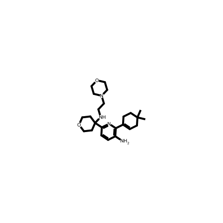 CC1(C)CC=C(c2nc(C3(NCCN4CCOCC4)CCOCC3)ccc2N)CC1